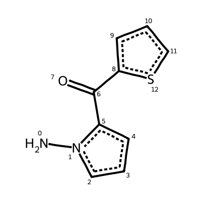 Nn1cccc1C(=O)c1cccs1